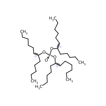 CCCCC/C=C(/CCCCC)OP(=O)(O/C(=C\CCCCC)CCCCC)O/C(=C\CCCCC)CCCCC